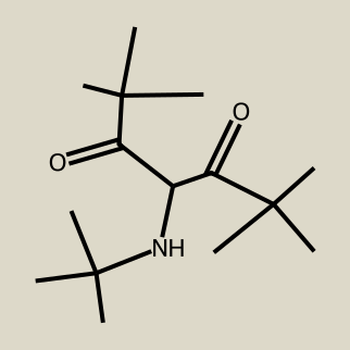 CC(C)(C)NC(C(=O)C(C)(C)C)C(=O)C(C)(C)C